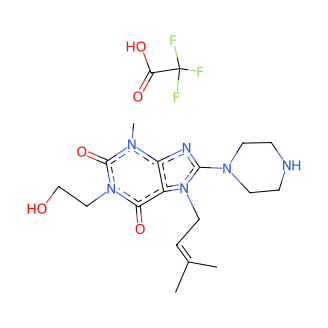 CC(C)=CCn1c(N2CCNCC2)nc2c1c(=O)n(CCO)c(=O)n2C.O=C(O)C(F)(F)F